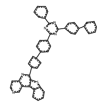 c1ccc(-c2ccc(-c3nc(-c4ccccc4)nc(-c4ccc(-c5ccc(-c6nc7ccncc7c7c6sc6ccccc67)cc5)cc4)n3)cc2)cc1